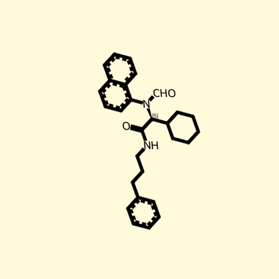 O=CN(c1cccc2ccccc12)[C@H](C(=O)NCCCc1ccccc1)C1CCCCC1